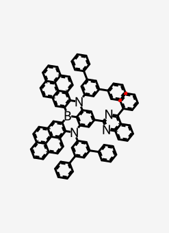 c1ccc(-c2cc(-c3ccccc3)cc(N3c4cc(-c5nc(-c6ccccc6)c6ccccc6n5)cc5c4B(c4cc6ccc7cccc8ccc(c43)c6c78)c3cc4ccc6cccc7ccc(c3N5c3cc(-c5ccccc5)cc(-c5ccccc5)c3)c4c67)c2)cc1